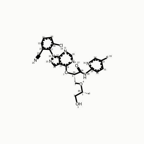 C[C@H](CO)OC[C@H](Oc1ncnc2c1cnn2-c1c(Cl)cccc1C#N)C(=O)Nc1ccc(F)cn1